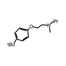 CC(C)N(C)CCOc1ccc(C(C)(C)C)cc1